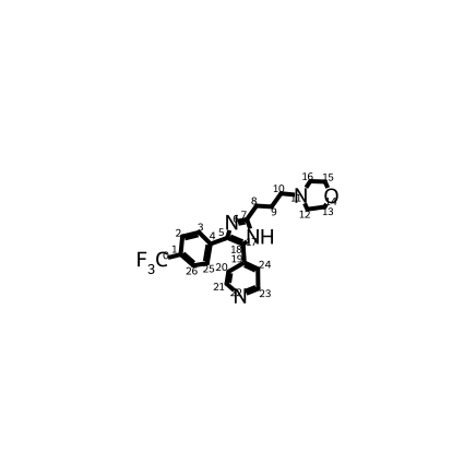 FC(F)(F)c1ccc(-c2nc(CCCN3CCOCC3)[nH]c2-c2ccncc2)cc1